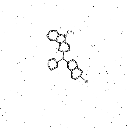 Cn1c2ccccc2c2cc(N(c3ccccc3)c3ccc4cc(Br)ccc4c3)ccc21